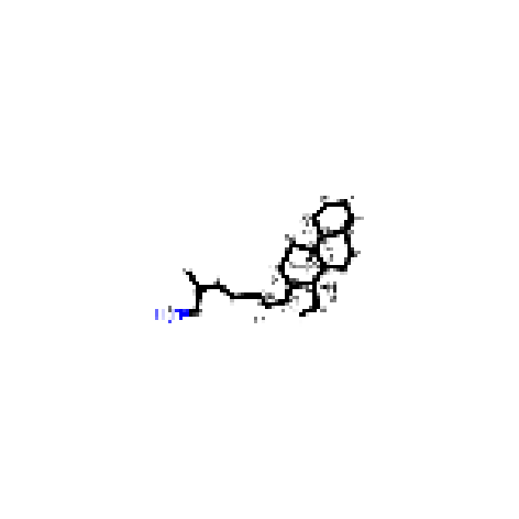 CC(CN)CCC[C@@H](C)[C@H]1CC[C@H]2[C@@H]3CCC4=CCCC[C@]4(C)[C@H]3CC[C@]12C